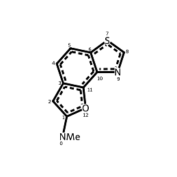 CNc1cc2ccc3scnc3c2o1